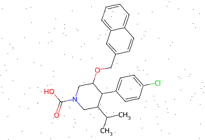 CC(C)C1CN(C(=O)O)CC(OCc2ccc3ccccc3c2)C1c1ccc(Cl)cc1